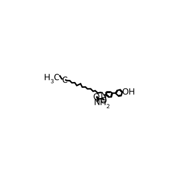 CCCCCCCCCCCCCCCCCCN(C(=O)C(N)=O)c1ccc(-c2ccc(O)cc2)cc1